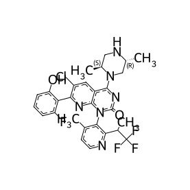 Cc1ccnc(C(C)C(F)(F)F)c1-n1c(=O)nc(N2C[C@@H](C)NC[C@@H]2C)c2cc(Cl)c(-c3c(O)cccc3F)nc21